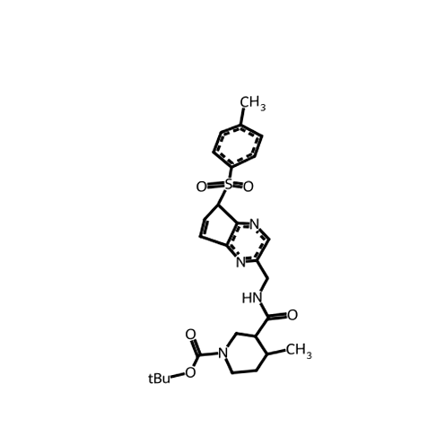 Cc1ccc(S(=O)(=O)C2C=Cc3nc(CNC(=O)C4CN(C(=O)OC(C)(C)C)CCC4C)cnc32)cc1